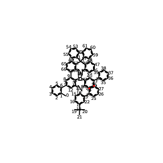 Cc1ccccc1-c1cc2c3c(c1)N(c1ccc(C(C)(C)C)cc1-c1ccccc1)c1ccc(-c4ccccc4)cc1B3N1c3ccccc3C(c3ccccc3)(c3ccccc3)c3cccc-2c31